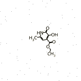 CCOC(=O)c1cc(C)[nH]c(=O)c1O